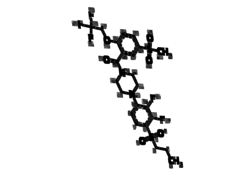 CCCS(=O)(=O)c1ccc(N2CCN(C(=O)c3cc(S(C)(=O)=O)ccc3OCC(F)(F)F)CC2)c(F)c1F